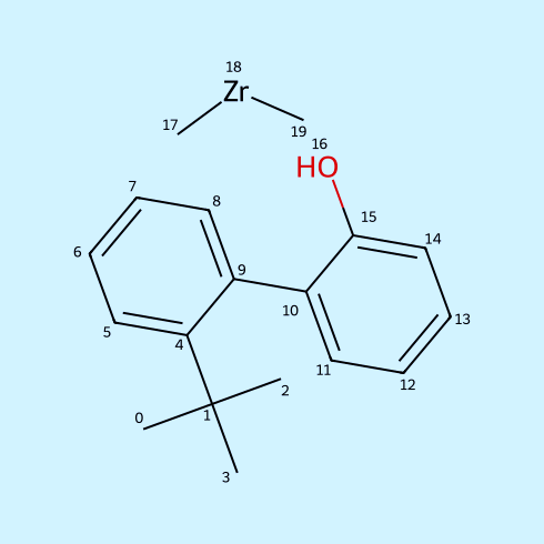 CC(C)(C)c1ccccc1-c1ccccc1O.[CH3][Zr][CH3]